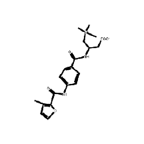 Cc1ccoc1C(=O)Nc1ccc(C(=O)NC(CC(=O)[O-])C[N+](C)(C)C)cc1